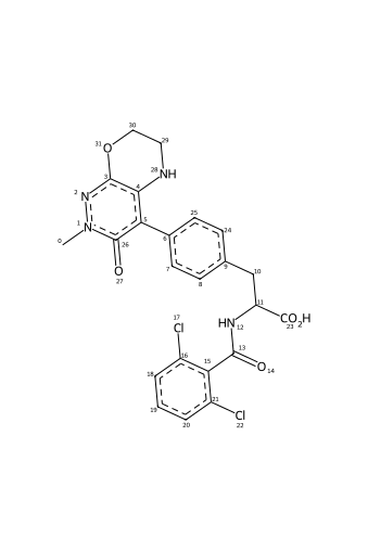 Cn1nc2c(c(-c3ccc(CC(NC(=O)c4c(Cl)cccc4Cl)C(=O)O)cc3)c1=O)NCCO2